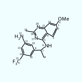 COc1ccc2c(NC(C)c3cc(N)cc(C(F)(F)F)c3)nc(C)nc2c1